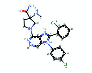 CNC1(C(N)=O)CCN(c2nncc3c2nc(-c2ccccc2Cl)n3-c2ccc(Cl)cc2)C1